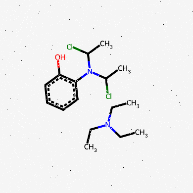 CC(Cl)N(c1ccccc1O)C(C)Cl.CCN(CC)CC